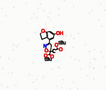 CC(C)(C)OC(=O)CC1(C(=O)OC(C)(C)C)CC(c2cc(O)cc3c2CCO3)=NO1